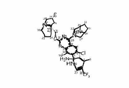 CC1=CC(N)(c2c(Cl)cc3c(N4CC5CCC(C4)N5)nc(OC[C@]45CCCN4C[C@H](F)C5)nc3c2F)NC=C1C(F)(F)F